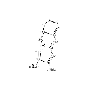 CCCCc1cc2cc3ccccc3cc2cc1CCCC